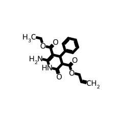 C=CCOC(=O)C1C(=O)NC(N)=C(C(=O)OCC)C1c1ccccc1